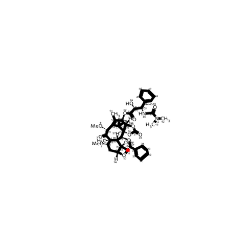 CO[C@H]1C(=O)[C@]2(C)[C@@H](OC)C[C@H]3OC[C@@]3(OC(C)=O)[C@H]2[C@H](OC(=O)c2ccccc2)[C@]23OC(=O)O[C@H]2[C@H](OC(=O)[C@H](O)[C@@H](NC(=O)N(C)C)c2ccccc2)C(C)=C1C3(C)C